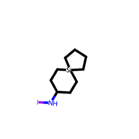 INC1CC[Si]2(CCCC2)CC1